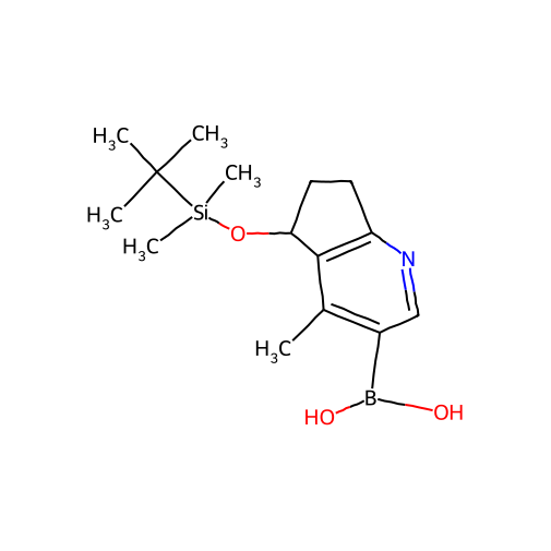 Cc1c(B(O)O)cnc2c1C(O[Si](C)(C)C(C)(C)C)CC2